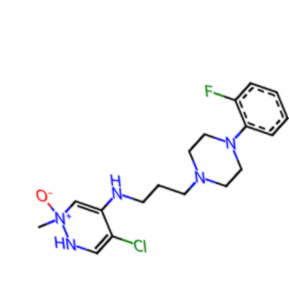 C[N+]1([O-])C=C(NCCCN2CCN(c3ccccc3F)CC2)C(Cl)=CN1